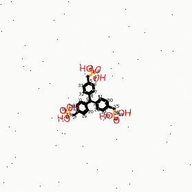 O=P(O)(O)Cc1ccc(C(c2ccc(CP(=O)(O)O)cc2)c2ccc(CP(=O)(O)O)cc2)cc1